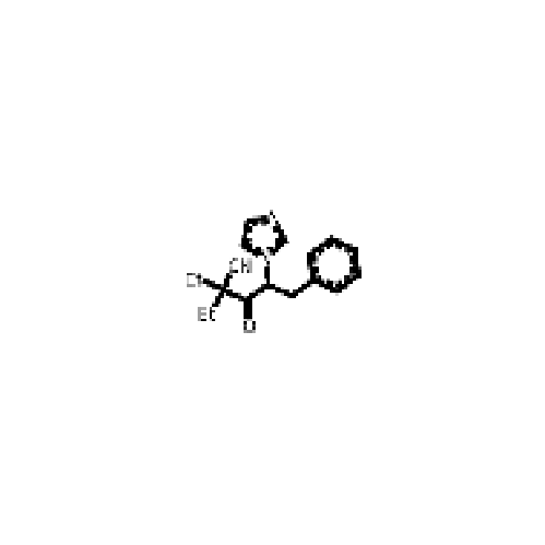 CCC(C#N)(CC)C(=O)C(Cc1ccccc1)n1ccnc1